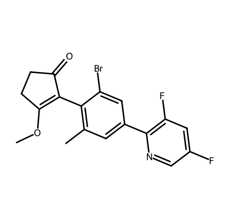 COC1=C(c2c(C)cc(-c3ncc(F)cc3F)cc2Br)C(=O)CC1